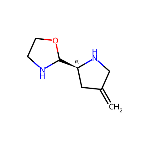 C=C1CN[C@H](C2NCCO2)C1